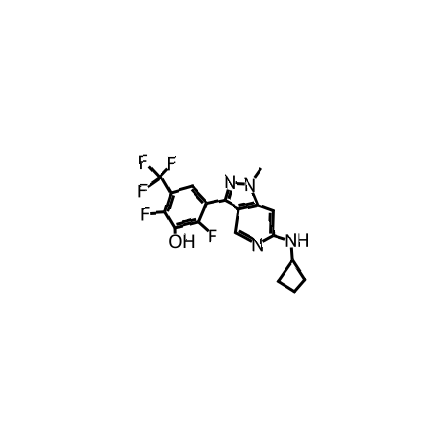 Cn1nc(-c2cc(C(F)(F)F)c(F)c(O)c2F)c2cnc(NC3CCC3)cc21